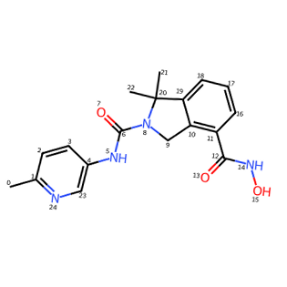 Cc1ccc(NC(=O)N2Cc3c(C(=O)NO)cccc3C2(C)C)cn1